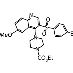 CCOC(=O)N1CCN(c2c(S(=O)(=O)c3ccc(CC)cc3)cnc3ccc(OC)cc23)CC1